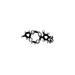 Cc1ccc2c(c1)OCCOCC(c1cc3nonc3cc1C)OCCO2